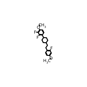 COc1ccc(CCC2CCC(c3ccc(OC)c(F)c3F)CC2)c(F)c1